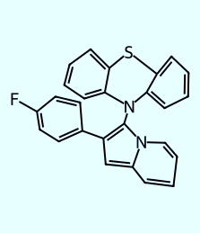 Fc1ccc(-c2cc3ccccn3c2N2c3ccccc3Sc3ccccc32)cc1